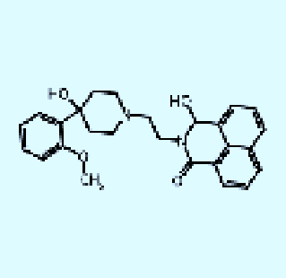 COc1ccccc1C1(O)CCN(CCN2C(=O)c3cccc4cccc(c34)C2O)CC1